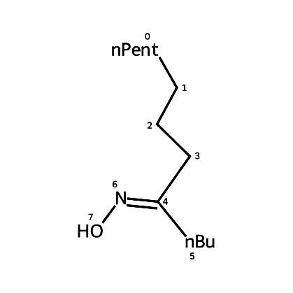 CCCCCCCCC(CCCC)=NO